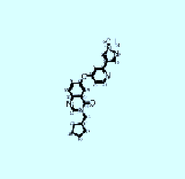 Cn1cc(-c2cc(Oc3ccc4ncn(CC5CCCC5)c(=O)c4c3)ccn2)cn1